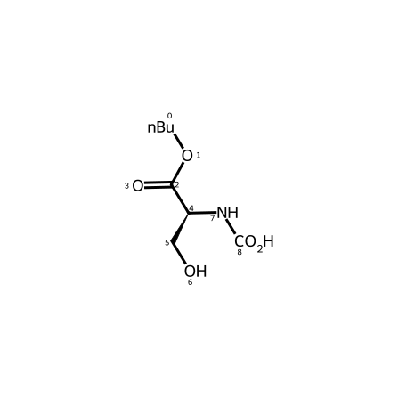 CCCCOC(=O)[C@H](CO)NC(=O)O